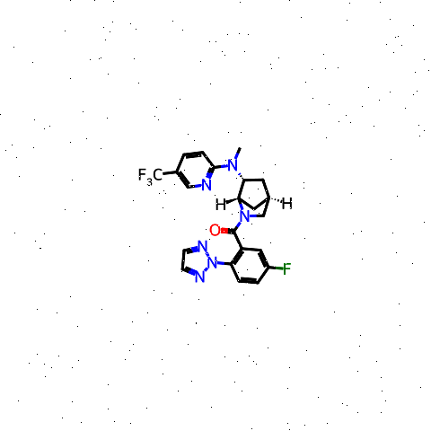 CN(c1ccc(C(F)(F)F)cn1)[C@@H]1C[C@@H]2C[C@@H]1N(C(=O)c1cc(F)ccc1-n1nccn1)C2